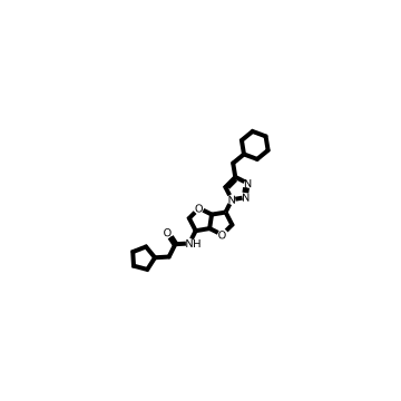 O=C(CC1CCCC1)NC1COC2C1OCC2n1cc(CC2CCCCC2)nn1